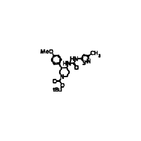 COc1ccc(C2CN(C(=O)OC(C)(C)C)CCC2NC(=O)Nc2cc(C)ns2)cc1